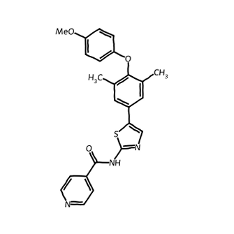 COc1ccc(Oc2c(C)cc(-c3cnc(NC(=O)c4ccncc4)s3)cc2C)cc1